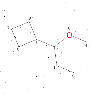 [CH2]CC(OC)C1CCC1